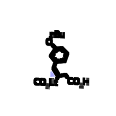 CCCCOc1cccc(/C=C(\CC(=O)O)C(=O)OCC)c1